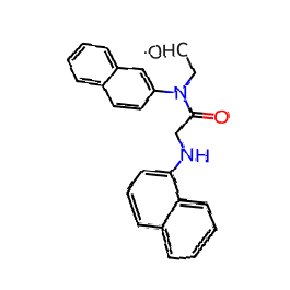 O=[C]CN(C(=O)CNc1cccc2ccccc12)c1ccc2ccccc2c1